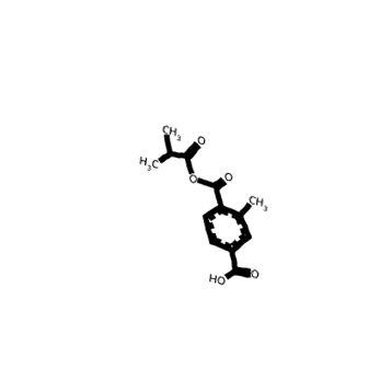 Cc1cc(C(=O)O)ccc1C(=O)OC(=O)C(C)C